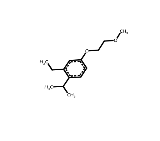 CCc1cc(OCCOC)ccc1C(C)C